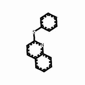 [c]1ccc(Sc2ccc3ccccc3n2)cc1